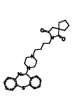 O=C1CC2(CCCC2)C(=O)N1CCCCN1CCN(C2=Nc3ccccc3Sc3ccccc32)CC1